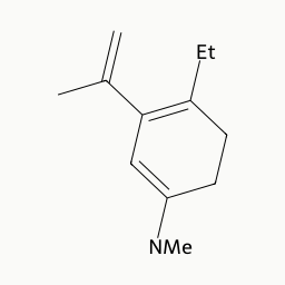 C=C(C)C1=C(CC)CCC(NC)=C1